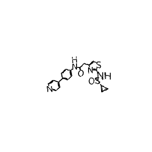 O=C(Cc1csc(N[S+]([O-])C2CC2)n1)Nc1ccc(-c2ccncc2)cc1